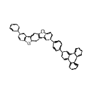 c1ccc(-c2ccc3oc4cc5c(cc4c3c2)oc2ccc(-c3ccc(-c4ccc6c7ccccc7c7ccccc7c6c4)cc3)cc25)cc1